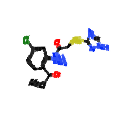 COC(=O)c1ccc(Cl)cc1NC(=O)CSc1nc[nH]n1